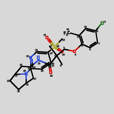 CC(C)(COc1ccc(Cl)cc1C(F)(F)F)C(=O)NC1CC2CCC(C1)N2c1ccc(S(C)(=O)=O)cn1